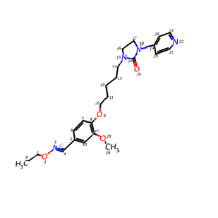 CCO/N=C/c1ccc(OCCCCCN2CCN(c3ccncc3)C2=O)c(OC)c1